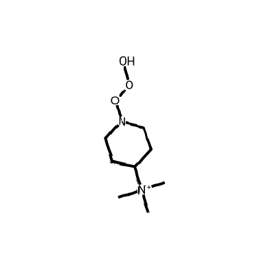 C[N+](C)(C)C1CCN(OOO)CC1